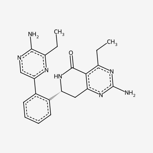 CCc1nc(-c2ccccc2[C@H]2Cc3nc(N)nc(CC)c3C(=O)N2)cnc1N